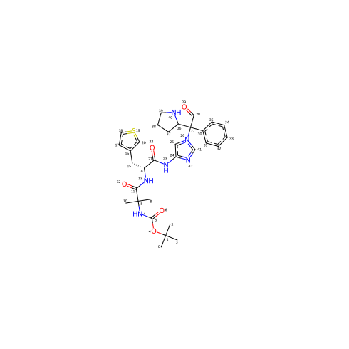 CC(C)(C)OC(=O)NC(C)(C)C(=O)N[C@H](Cc1ccsc1)C(=O)Nc1cn(C(C=O)(c2ccccc2)C2CCCN2)cn1